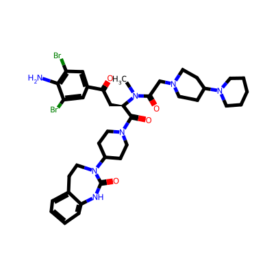 CN(C(=O)CN1CCC(N2CCCCC2)CC1)[C@H](CC(=O)c1cc(Br)c(N)c(Br)c1)C(=O)N1CCC(N2CCc3ccccc3NC2=O)CC1